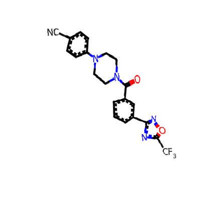 N#Cc1ccc(N2CCN(C(=O)c3cccc(-c4noc(C(F)(F)F)n4)c3)CC2)cc1